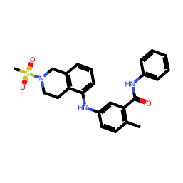 Cc1ccc(Nc2cccc3c2CCN(S(C)(=O)=O)C3)cc1C(=O)Nc1ccccc1